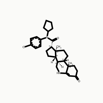 C[C@]12CC[C@H]3[C@@H](CNC4=CC(=O)CC[C@@]43C)[C@@H]1CC[C@@H]2C(=O)N(c1ccc(Cl)cc1)C1CCCC1